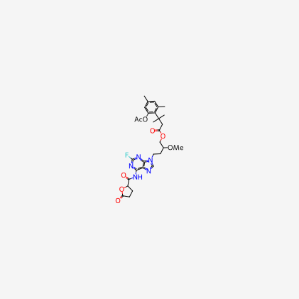 COC(CCn1cnc2c(NC(=O)C3CCC(=O)O3)nc(F)nc21)COC(=O)CC(C)(C)c1c(C)cc(C)cc1OC(C)=O